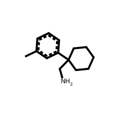 Cc1cccc(C2(CN)CCCCC2)c1